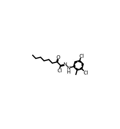 CCCCCCC(=O)C(Cl)=NNc1cc(Cl)cc(Cl)c1C